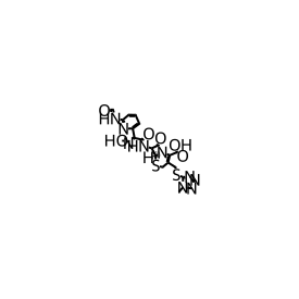 Cn1nnnc1SCC1=C(C(=O)O)N2C(=O)C(NC(=O)C(=NO)c3cccc(NC=O)n3)[C@@H]2SC1